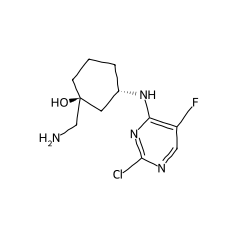 NC[C@]1(O)CCC[C@H](Nc2nc(Cl)ncc2F)C1